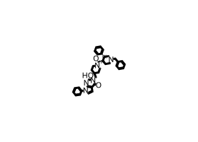 O=C([C@@H]1CCN(Cc2ccccc2)C[C@H]1c1ccccc1)N1CCC(O)(Cn2cnc3c(ccn3-c3ccccc3)c2=O)CC1